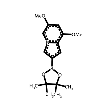 COc1cc(OC)c2cc(B3OC(C)(C)C(C)(C)O3)cn2c1